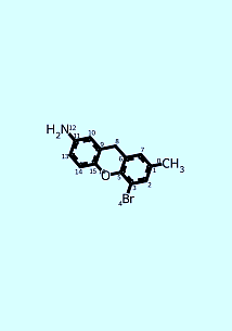 Cc1cc(Br)c2c(c1)Cc1cc(N)ccc1O2